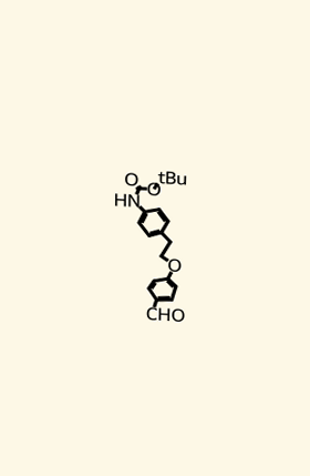 CC(C)(C)OC(=O)Nc1ccc(CCOc2ccc(C=O)cc2)cc1